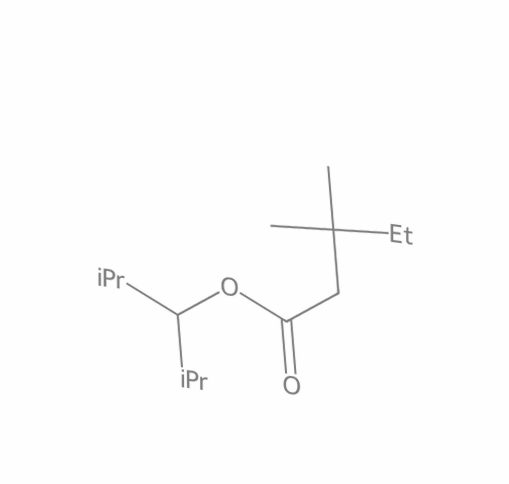 CCC(C)(C)CC(=O)OC(C(C)C)C(C)C